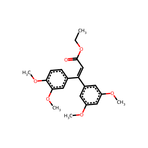 CCOC(=O)C=C(c1cc(OC)cc(OC)c1)c1ccc(OC)c(OC)c1